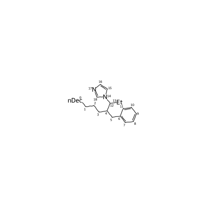 CCCCCCCCCCCCCC(Cc1ccccc1)C(CC)n1ccnc1